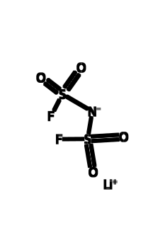 O=S(=O)(F)[N-]S(=O)(=O)F.[Li+]